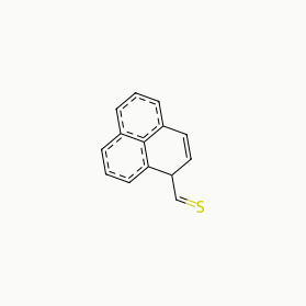 S=CC1C=Cc2cccc3cccc1c23